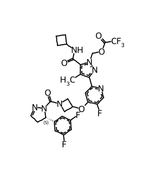 Cc1c(-c2cc(OC3CN(C(=O)N4N=CC[C@H]4c4cc(F)cc(F)c4)C3)c(F)cn2)nn(COC(=O)C(F)(F)F)c1C(=O)NC1CCC1